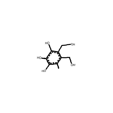 Cc1c(O)c(O)c(O)c(CO)c1CO